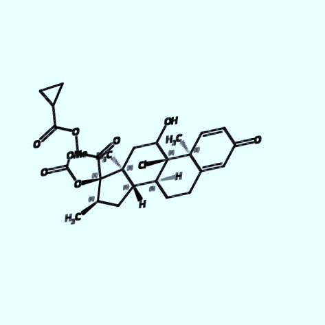 COC(=O)O[C@]1(C(=O)COC(=O)C2CC2)[C@H](C)C[C@H]2[C@@H]3CCC4=CC(=O)C=C[C@]4(C)[C@@]3(Cl)C(O)C[C@@]21C